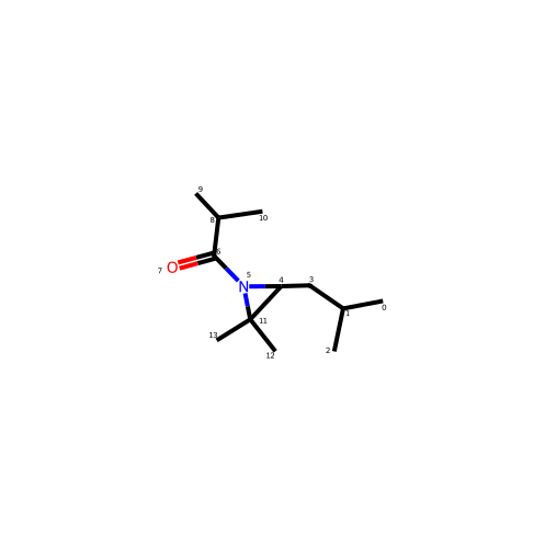 CC(C)CC1N(C(=O)C(C)C)C1(C)C